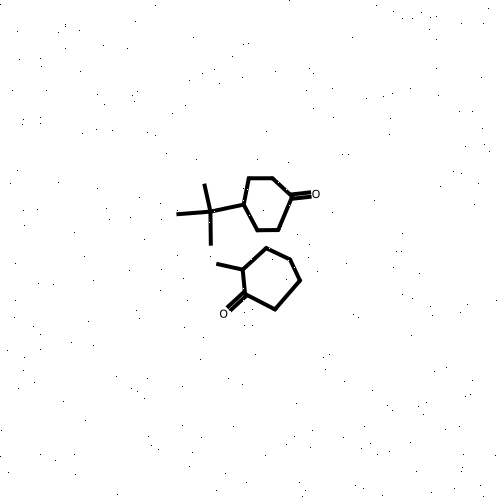 CC(C)(C)C1CCC(=O)CC1.CC1CCCCC1=O